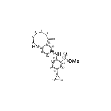 C=C1CCCCCNc2ccc(Nc3ncc(C4CC4)cc3C(=O)OC)cc21